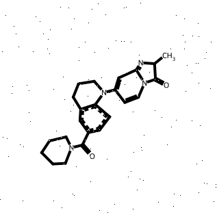 CC1N=C2C=C(N3CCCc4cc(C(=O)N5CCCCC5)ccc43)C=CN2C1=O